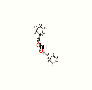 B(OC#Cc1ccccc1)OC#Cc1ccccc1